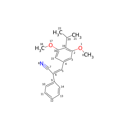 COc1cc(C=C(C#N)c2ccccc2)cc(OC)c1C(C)C